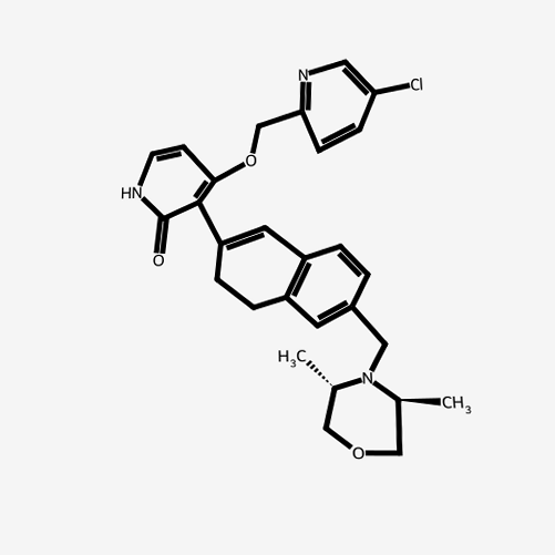 C[C@H]1COC[C@H](C)N1Cc1ccc2c(c1)CCC(c1c(OCc3ccc(Cl)cn3)cc[nH]c1=O)=C2